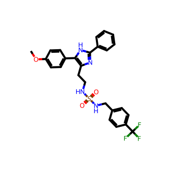 COc1ccc(-c2[nH]c(-c3ccccc3)nc2CCNS(=O)(=O)NCc2ccc(C(F)(F)F)cc2)cc1